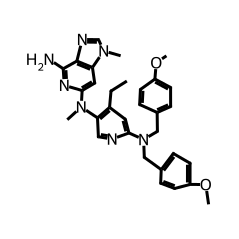 CCc1cc(N(Cc2ccc(OC)cc2)Cc2ccc(OC)cc2)ncc1N(C)c1cc2c(ncn2C)c(N)n1